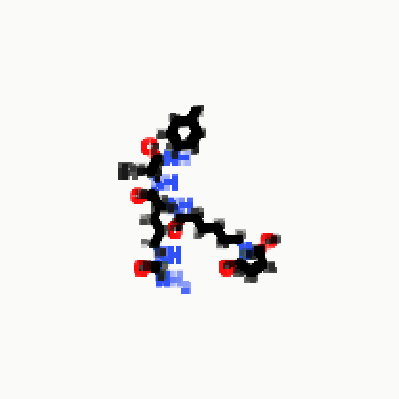 [CH2]c1ccc(NC(=O)[C@@H](NC(=O)[C@H](CCCNC(N)=O)NC(=O)CCCCCN2C(=O)C=CC2=O)C(C)C)cc1